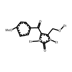 CCOCc1c(C(=O)c2ccc(OC)cc2)n(CC)c(=O)n1CC